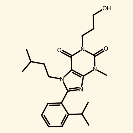 CC(C)CCn1c(-c2ccccc2C(C)C)nc2c1c(=O)n(CCCO)c(=O)n2C